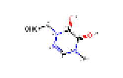 CCn1[c]nn(CC=O)c(=O)c1=O